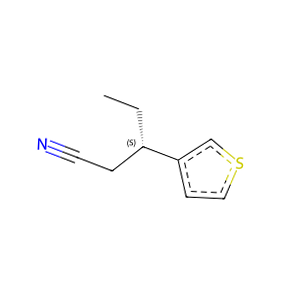 CC[C@@H](CC#N)c1ccsc1